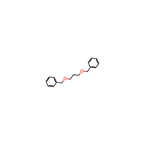 [CH](COCc1ccccc1)COCc1ccccc1